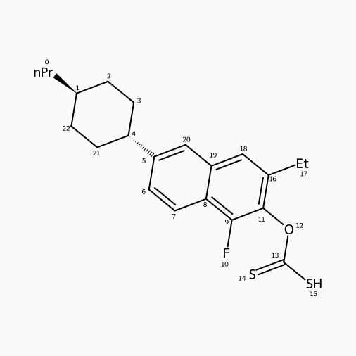 CCC[C@H]1CC[C@H](c2ccc3c(F)c(OC(=S)S)c(CC)cc3c2)CC1